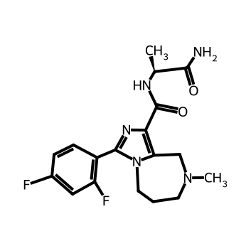 C[C@H](NC(=O)c1nc(-c2ccc(F)cc2F)n2c1CN(C)CCC2)C(N)=O